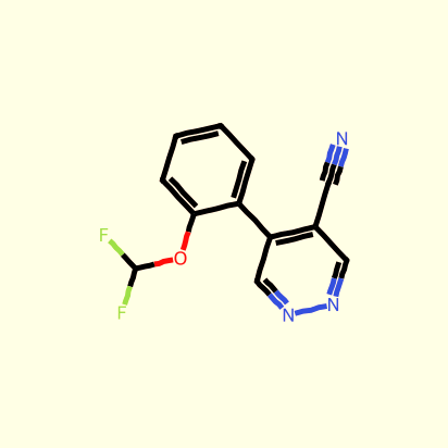 N#Cc1cnncc1-c1ccccc1OC(F)F